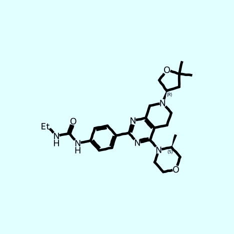 CCNC(=O)Nc1ccc(-c2nc3c(c(N4CCOC[C@@H]4C)n2)CCN([C@H]2COC(C)(C)C2)C3)cc1